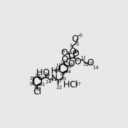 COCCOC(=O)C1(C(=O)OCCOC)Oc2ccc(CC(C)NCC(O)c3cccc(Cl)c3)cc2O1.Cl